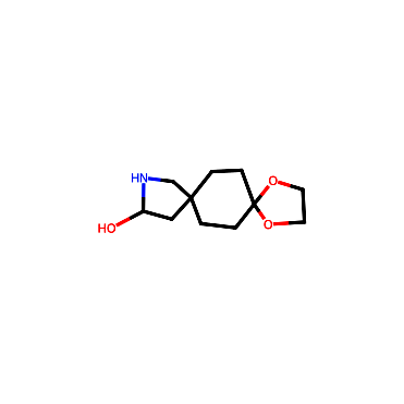 OC1CC2(CCC3(CC2)OCCO3)CN1